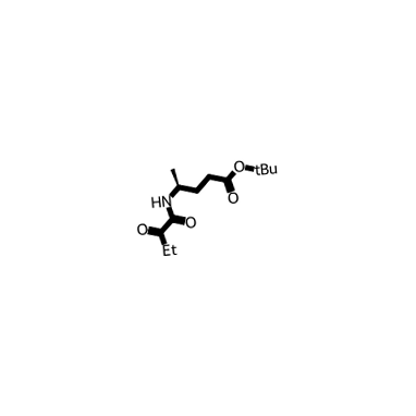 CCC(=O)C(=O)N[C@@H](C)CCC(=O)OC(C)(C)C